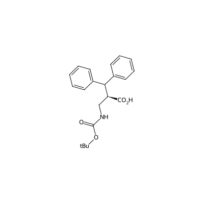 CC(C)(C)OC(=O)NC[C@H](C(=O)O)C(c1ccccc1)c1ccccc1